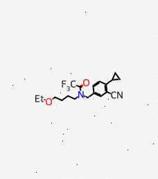 CCOCCCCN(Cc1ccc(C2CC2)c(C#N)c1)C(=O)C(F)(F)F